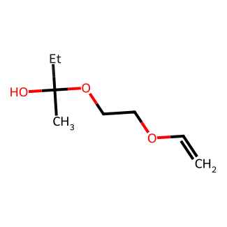 C=COCCOC(C)(O)CC